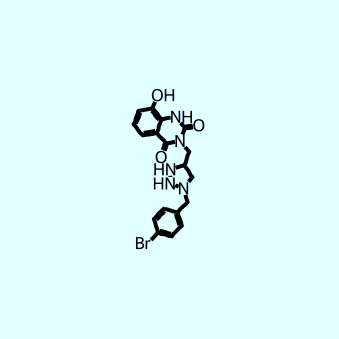 O=c1[nH]c2c(O)cccc2c(=O)n1CC1CN(Cc2ccc(Br)cc2)NN1